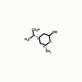 C[C@@H]1C[C@H](N(C)C(=O)O)CC(O)O1